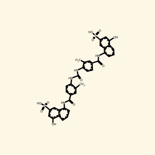 Cc1cc(C(=O)Nc2cccc3c(O)cc(S(=O)(=O)O)cc23)ccc1NC(=O)Nc1ccc(C(=O)Nc2cccc3c(O)cc(S(=O)(=O)O)cc23)cc1C